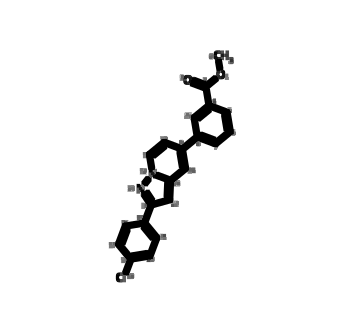 COC(=O)c1cccc(-c2ccn3nc(-c4ccc(Cl)cc4)cc3c2)c1